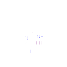 C1=C(p2np[nH][pH][nH]2)C2CCC1C2